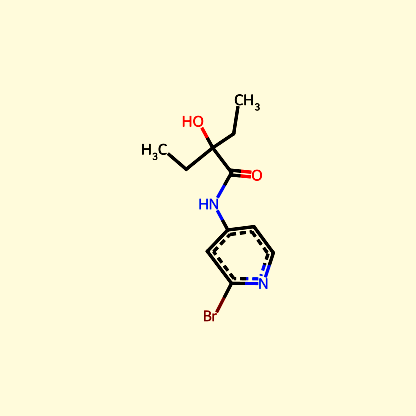 CCC(O)(CC)C(=O)Nc1ccnc(Br)c1